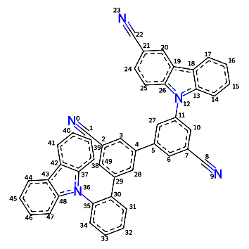 N#Cc1cc(-c2cc(C#N)cc(-n3c4ccccc4c4cc(C#N)ccc43)c2)cc(-c2ccccc2-n2c3ccccc3c3ccccc32)c1